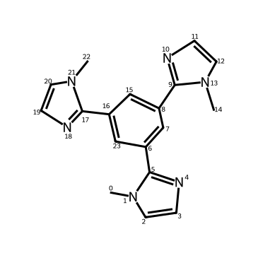 Cn1ccnc1-c1cc(-c2nccn2C)cc(-c2nccn2C)c1